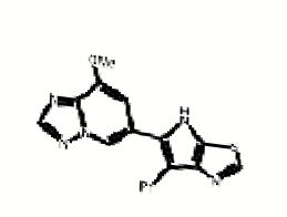 COc1cc(-c2[nH]c3scnc3c2C(C)C)cn2ncnc12